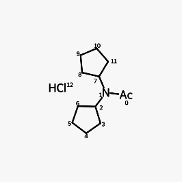 CC(=O)N(C1CCCC1)C1CCCC1.Cl